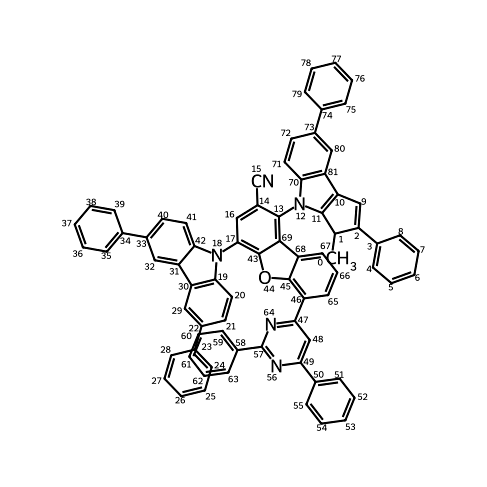 CC1C(c2ccccc2)=Cc2c1n(-c1c(C#N)cc(-n3c4ccc(-c5ccccc5)cc4c4cc(-c5ccccc5)ccc43)c3oc4c(-c5cc(-c6ccccc6)nc(-c6ccccc6)n5)cccc4c13)c1ccc(-c3ccccc3)cc21